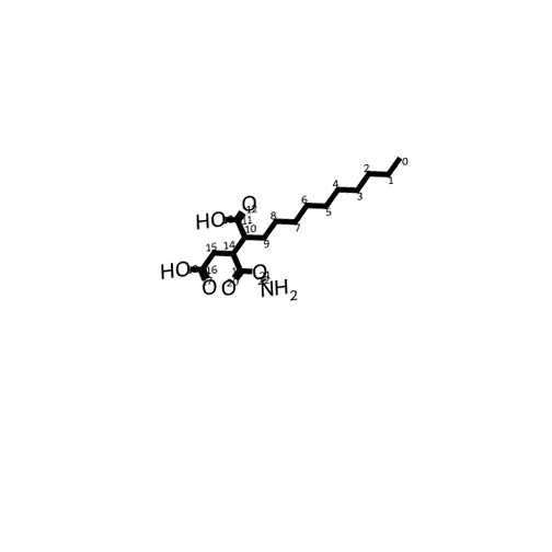 CCCCCCCCCCC(C(=O)O)C(CC(=O)O)C(=O)ON